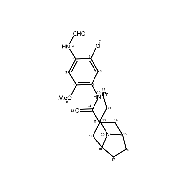 COc1cc(NC=O)c(Cl)cc1NC(=O)C1CC2CCC(C1)N2CCC(C)C